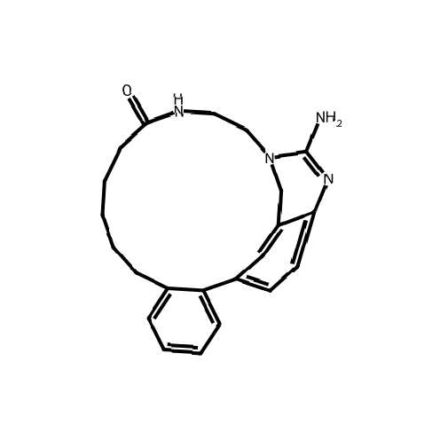 NC1=Nc2ccc3cc2CN1CCNC(=O)CCCCCc1ccccc1-3